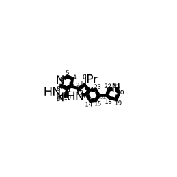 CC(C)c1c(-c2ccnc3[nH]ncc23)[nH]c2ccc(-c3cccnc3)cc12